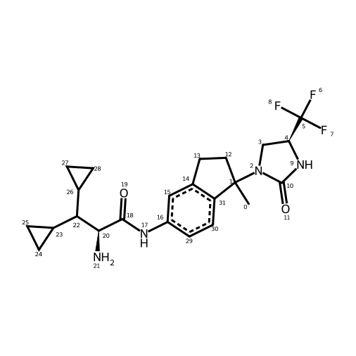 CC1(N2C[C@@H](C(F)(F)F)NC2=O)CCc2cc(NC(=O)[C@@H](N)C(C3CC3)C3CC3)ccc21